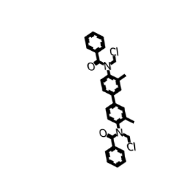 Cc1cc(-c2ccc(N(CCl)C(=O)c3ccccc3)c(C)c2)ccc1N(CCl)C(=O)c1ccccc1